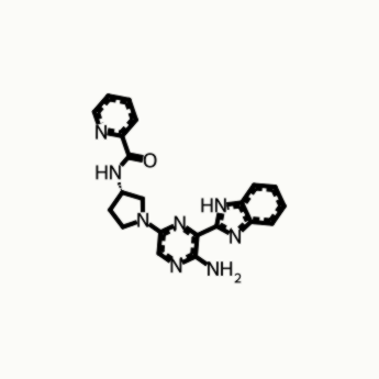 Nc1ncc(N2CC[C@H](NC(=O)c3ccccn3)C2)nc1-c1nc2ccccc2[nH]1